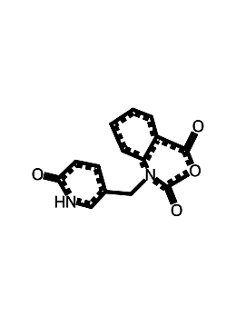 O=c1ccc(Cn2c(=O)oc(=O)c3ccccc32)c[nH]1